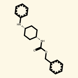 O=C(N[C@H]1CC[C@@H](Nc2ccccc2)CC1)OCc1ccccc1